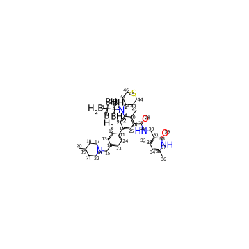 BC(B)(B)C(B)(B)N(c1cc(-c2ccc(CN3CCC(C)CC3)cc2)cc(C(=O)NCc2c(C)cc(C)[nH]c2=O)c1C)C1CCSCC1